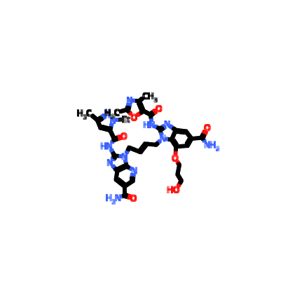 CCn1nc(C)cc1C(=O)Nc1nc2cc(C(N)=O)cnc2n1C/C=C/Cn1c(NC(=O)c2oc(C)nc2C)nc2cc(C(N)=O)cc(OCCCO)c21